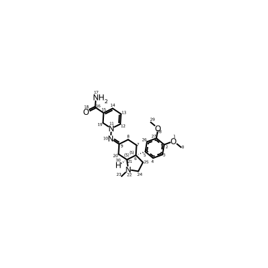 COc1ccc([C@@]23CCC(=NN4C=CC=C(C(N)=O)C4)C[C@@H]2N(C)CC3)cc1OC